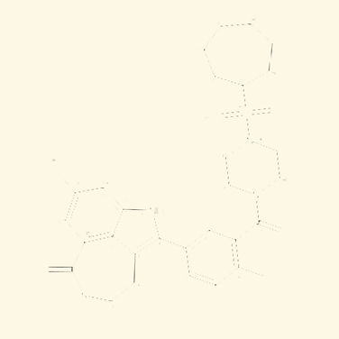 O=C1NCCc2c(-c3ccc(F)c(C(=O)N4CCN(S(=O)(=O)C5CCCCCC5)CC4)c3)[nH]c3cc(F)cc1c23